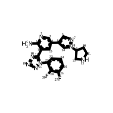 Nc1ncc(-c2cnn(C3CCNC3)c2)cc1-c1nnnn1-c1cccc(F)c1F